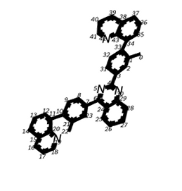 Cc1cc(-c2nc(-c3ccc(-c4cccc5cccnc45)c(C)c3)c3ccccc3n2)ccc1-c1cccc2cccnc12